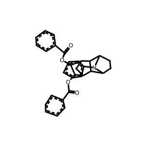 O=C(OC1C2CC(C1OC(=O)c1ccccc1)C1C2C2CCC1N2c1ccccc1)c1ccccc1